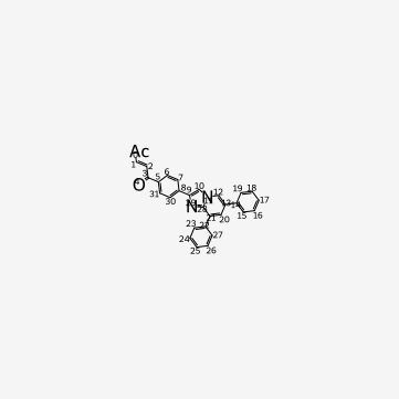 CC(=O)C=CC(=O)c1ccc(-c2cn3cc(-c4ccccc4)cc(-c4ccccc4)c3n2)cc1